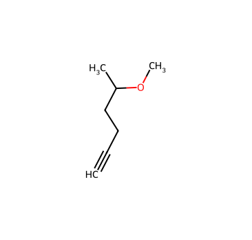 C#CCCC(C)OC